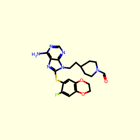 Nc1ncnc2c1nc(Sc1cc3c(cc1F)OCCO3)n2CCC1CCN(C=O)CC1